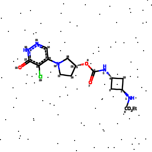 CCOC(=O)N[C@H]1C[C@H](NC(=O)O[C@@H]2CCN(c3cn[nH]c(=O)c3Cl)C2)C1